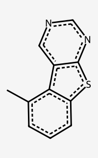 Cc1cccc2sc3ncncc3c12